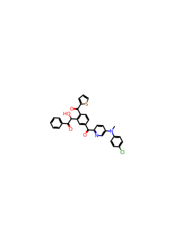 CN(c1ccc(Cl)cc1)c1ccc(C(=O)c2ccc(C(=O)c3cccs3)c(C(O)C(=O)c3ccccc3)c2)nc1